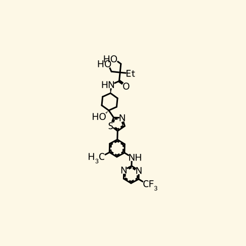 CCC(CO)(CO)C(=O)N[C@H]1CC[C@@](O)(c2ncc(-c3cc(C)cc(Nc4nccc(C(F)(F)F)n4)c3)s2)CC1